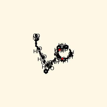 C=C1C[C@@H]2CC[C@@]34CC[C@H]5C6O[C@H]7CC[C@H](CC(=O)C[C@@H]8[C@@H](OC)[C@@H](C[C@H](O)CNC(=O)CNC(=O)[C@H](Cc9ccccc9)NC(=O)CNC(=O)CNC(=O)COCCNC(=O)CCCC#Cc9cnc(S(C)(=O)=O)nc9)O[C@H]8C[C@H]8O[C@@H](CC[C@@H]1O2)C[C@@H](C)C8=C)O[C@@H]7[C@H](O3)[C@@H]6C5O4